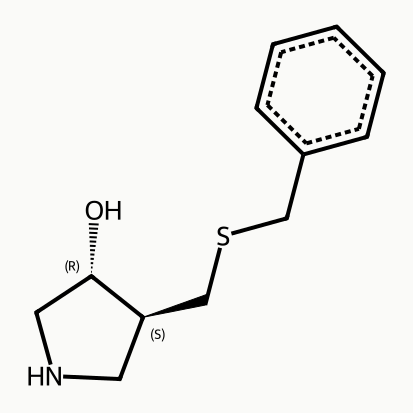 O[C@H]1CNC[C@@H]1CSCc1ccccc1